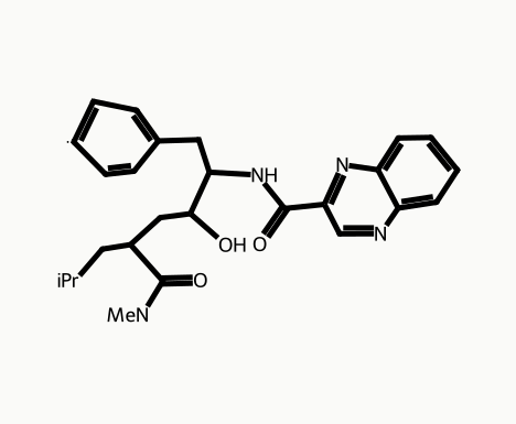 CNC(=O)C(CC(C)C)CC(O)C(Cc1cc[c]cc1)NC(=O)c1cnc2ccccc2n1